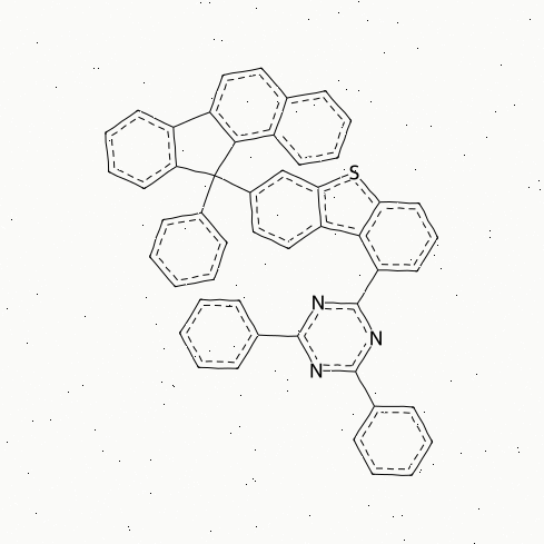 c1ccc(-c2nc(-c3ccccc3)nc(-c3cccc4sc5cc(C6(c7ccccc7)c7ccccc7-c7ccc8ccccc8c76)ccc5c34)n2)cc1